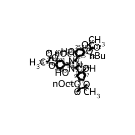 CCCCCCCCOC(=O)C(C)Oc1ccc(-c2nc(-c3ccc(OC(C)C(=O)OCCCC)cc3O)nc(-c3ccc(OC(C)C(=O)OCCCCCCCC)cc3O)n2)c(O)c1